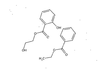 CCOC(=O)c1ccccc1.O=C(OCCO)c1ccccc1O